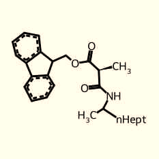 CCCCCCCC(C)NC(=O)[C@H](C)C(=O)OCC1c2ccccc2-c2ccccc21